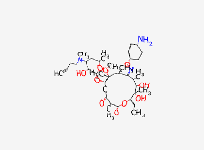 C#CCCN(C)[C@H]1C[C@@H](C)O[C@@H](O[C@@H]2CC(=O)[C@@H](C)C(=O)O[C@H](CC)[C@@](C)(O)[C@H](O)[C@@H](C)/C(=N/O[C@H]3CC[C@@H](N)CC3)[C@H](C)C[C@@]2(C)OC)[C@@H]1O